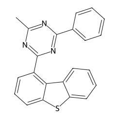 Cc1nc(-c2ccccc2)nc(-c2cccc3sc4ccccc4c23)n1